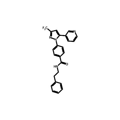 O=C(NCCc1ccccc1)c1ccc(-n2nc(C(F)(F)F)cc2-c2cccnc2)cc1